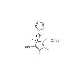 CCCC1=C(C)C(C)=C(C)[C]1(C)[Hf+2][CH]1C=CC=C1.[Cl-].[Cl-]